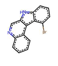 Brc1cccc2[nH]c3cnc4ccccc4c3c12